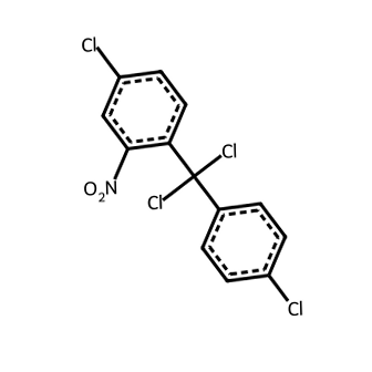 O=[N+]([O-])c1cc(Cl)ccc1C(Cl)(Cl)c1ccc(Cl)cc1